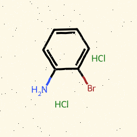 Cl.Cl.Nc1ccccc1Br